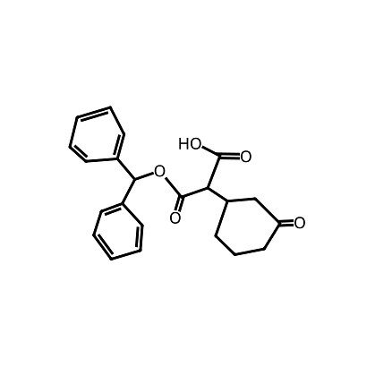 O=C1CCCC(C(C(=O)O)C(=O)OC(c2ccccc2)c2ccccc2)C1